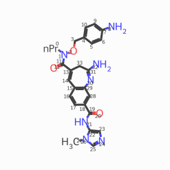 CCCN(OCc1ccc(N)cc1)C(=O)C1=Cc2ccc(C(=O)Nc3cncn3C)cc2N=C(N)C1